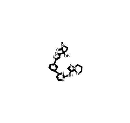 CN1CCC(O)(c2cc(-c3cccc(-c4ccnc(Nc5cnn6c5OCCC6)n4)c3)no2)C1=O